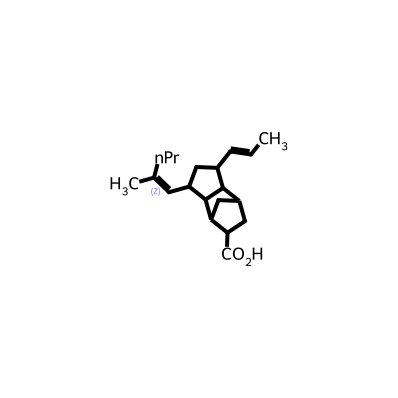 CC=CC1CC(/C=C(/C)CCC)C2C3CC(CC3C(=O)O)C12